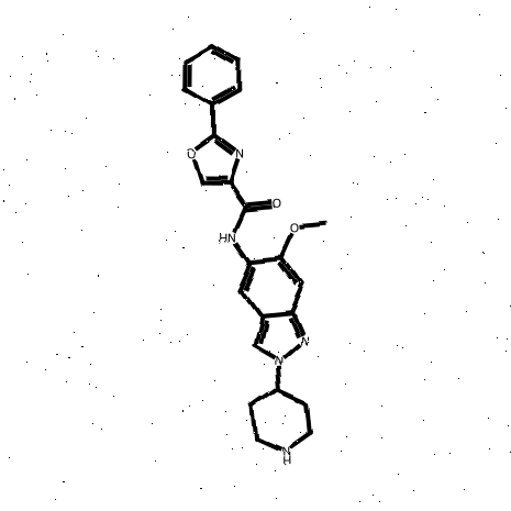 COc1cc2nn(C3CCNCC3)cc2cc1NC(=O)c1coc(-c2ccccc2)n1